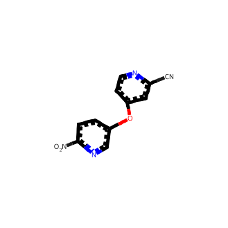 N#Cc1cc(Oc2ccc([N+](=O)[O-])nc2)ccn1